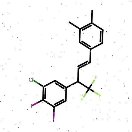 Cc1ccc(/C=C/C(c2cc(Cl)c(I)c(I)c2)C(F)(F)F)cc1C